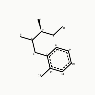 CC[C@H](C)C(C)Cc1ccccc1C